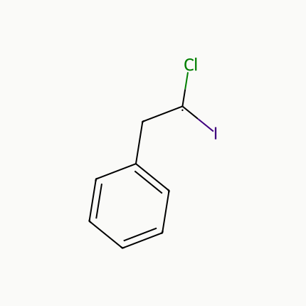 Cl[C](I)Cc1ccccc1